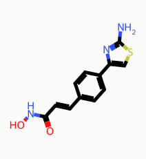 Nc1nc(-c2ccc(C=CC(=O)NO)cc2)cs1